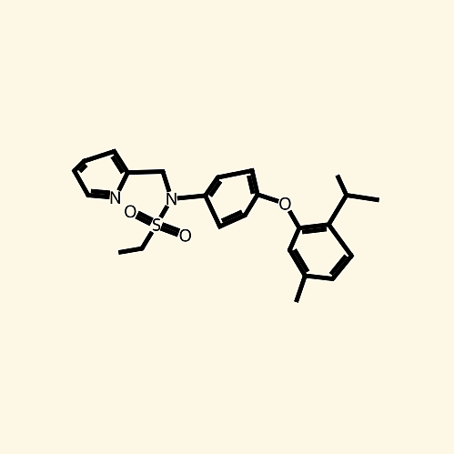 CCS(=O)(=O)N(Cc1ccccn1)c1ccc(Oc2cc(C)ccc2C(C)C)cc1